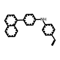 C=Cc1ccc(Nc2ccc(-c3cccc4ccccc34)cc2)cc1